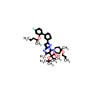 C=CCOC1(C)CCN(c2c(C(CC)(OC(C)(C)C)C(=O)O)c(C)nc3cc(-c4cccc(-c5ccc(F)cc5O[C@@H](C)CC=C)c4)nn23)CC1